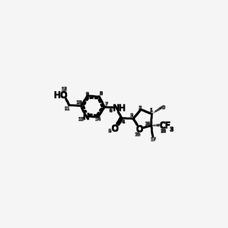 C[C@H]1CC(C(=O)Nc2ccc(CO)nc2)O[C@@]1(C)C(F)(F)F